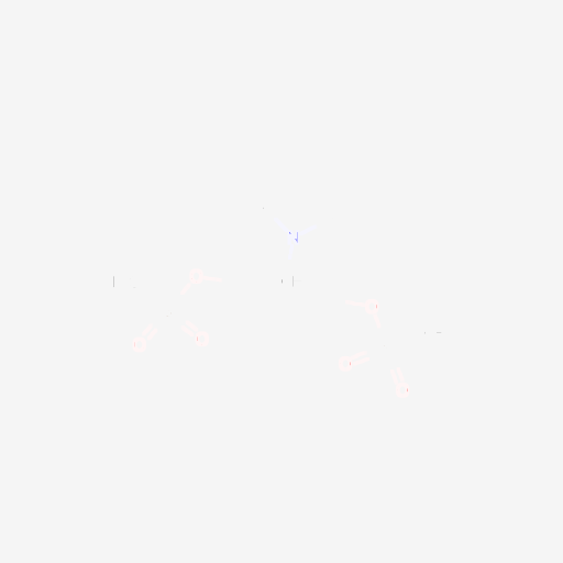 CN1C2C=CC1c1c(OS(=O)(=O)C(F)(F)F)ccc(OS(=O)(=O)C(F)(F)F)c12